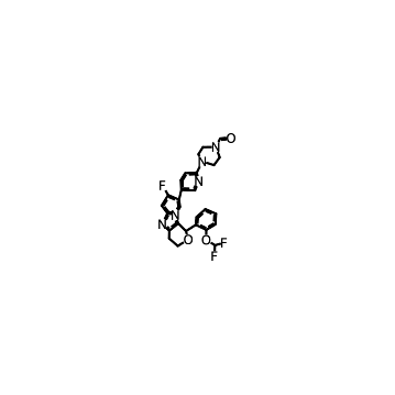 O=CN1CCN(c2ccc(-c3cn4c5c(nc4cc3F)CCOC5c3ccccc3OC(F)F)cn2)CC1